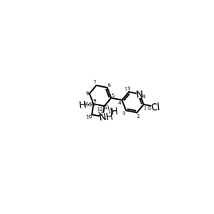 Clc1ccc(C2=CCC[C@@H]3CN[C@H]23)cn1